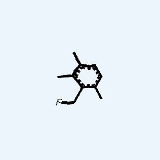 Cc1ccc(C)c(CF)c1C